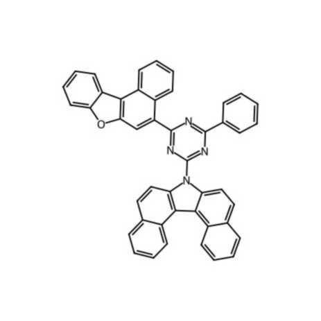 c1ccc(-c2nc(-c3cc4oc5ccccc5c4c4ccccc34)nc(-n3c4ccc5ccccc5c4c4c5ccccc5ccc43)n2)cc1